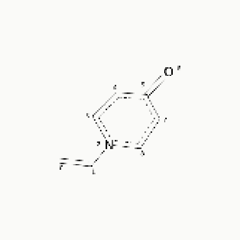 C=Cn1ccc(=O)cc1